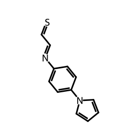 S=CC=Nc1ccc(-n2cccc2)cc1